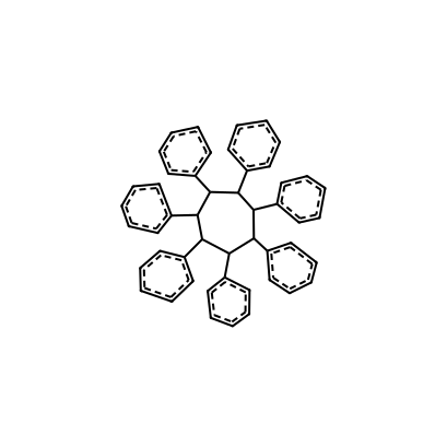 c1ccc(C2C(c3ccccc3)C(c3ccccc3)C(c3ccccc3)C(c3ccccc3)C(c3ccccc3)C2c2ccccc2)cc1